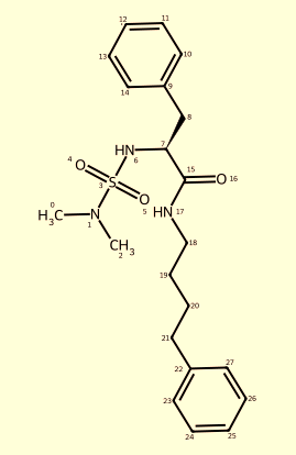 CN(C)S(=O)(=O)N[C@@H](Cc1cc[c]cc1)C(=O)NCCCCc1ccccc1